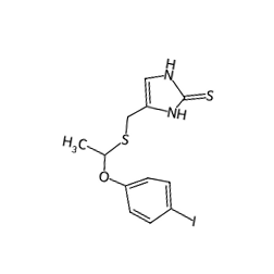 CC(Oc1ccc(I)cc1)SCc1c[nH]c(=S)[nH]1